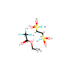 CCOC(=O)C(F)(F)F.O=S(=O)(F)CCS(=O)(=O)F